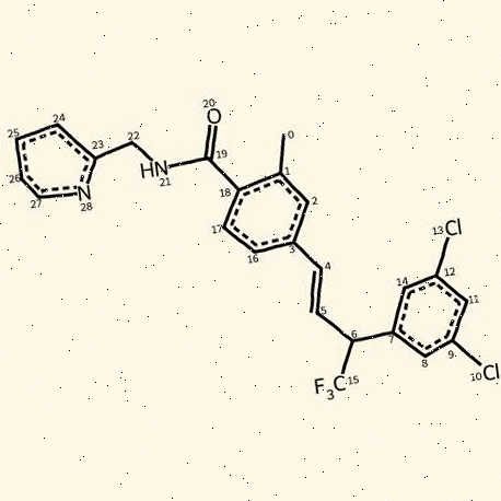 Cc1cc(/C=C/C(c2cc(Cl)cc(Cl)c2)C(F)(F)F)ccc1C(=O)NCc1ccccn1